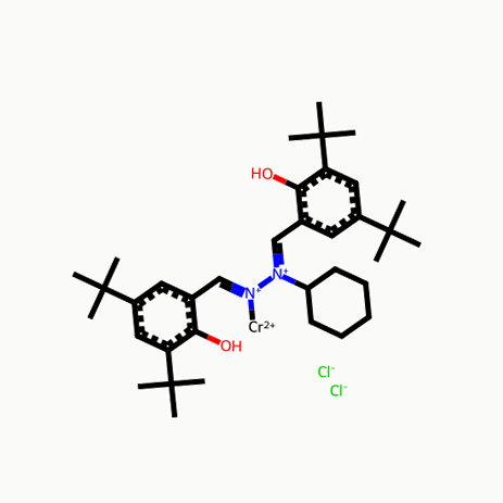 CC(C)(C)c1cc(C=[N+]([Cr+2])[N+](=Cc2cc(C(C)(C)C)cc(C(C)(C)C)c2O)C2CCCCC2)c(O)c(C(C)(C)C)c1.[Cl-].[Cl-]